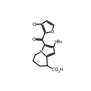 CCCCc1cc2n(c1C(=O)c1occc1Cl)CCCC2C(=O)O